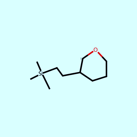 C[Si](C)(C)CCC1[C]OCCC1